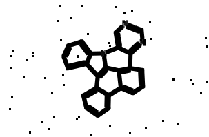 c1ccc2c(c1)c1cccc3c4ncncc4n4c5ccccc5c2c4c13